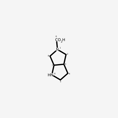 O=C(O)N1CC2CCNC2C1